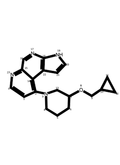 c1cc(N2CCCC(OCC3CC3)C2)c2c(cnc3[nH]ccc32)n1